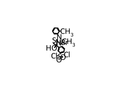 Br.CCN1C(=Nc2ccccc2C)SCC1(O)c1ccc(Cl)c(S(=O)(=O)Cl)c1